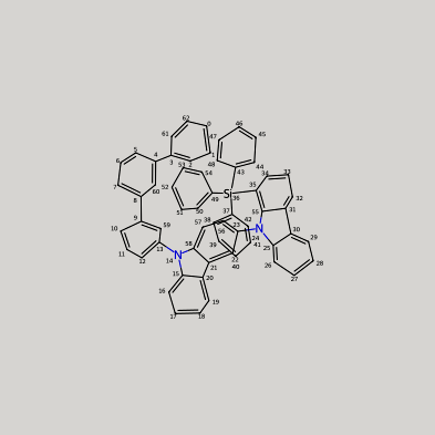 c1ccc(-c2cccc(-c3cccc(-n4c5ccccc5c5cc(-n6c7ccccc7c7cccc([Si](c8ccccc8)(c8ccccc8)c8ccccc8)c76)ccc54)c3)c2)cc1